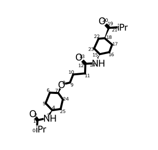 CC(C)C(=O)N[C@H]1CC[C@@H](OCCCC(=O)N[C@H]2CC[C@H](C(=O)C(C)C)CC2)CC1